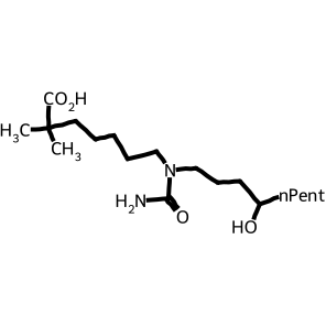 CCCCCC(O)CCCN(CCCCCC(C)(C)C(=O)O)C(N)=O